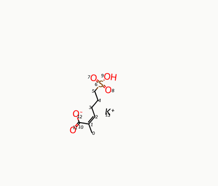 CC(=CCCCS(=O)(=O)O)C(=O)[O-].[K+]